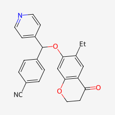 CCc1cc2c(cc1OC(c1ccncc1)c1ccc(C#N)cc1)OCCC2=O